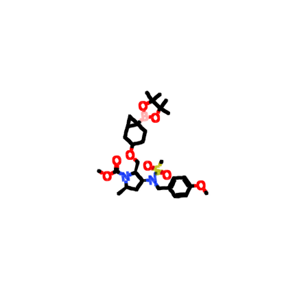 COC(=O)N1[C@H](C)C[C@H](N(Cc2ccc(OC)cc2)S(C)(=O)=O)[C@@H]1COC1CCC2(B3OC(C)(C)C(C)(C)O3)CC2C1